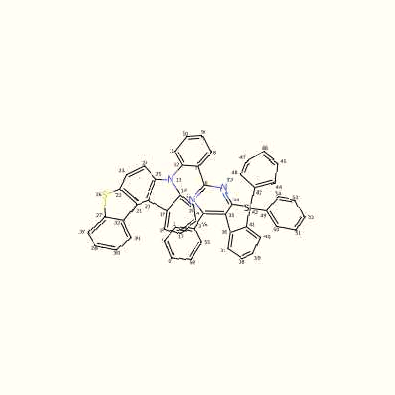 c1ccc(-c2nc(-c3ccccc3-n3c4ccccc4c4c5c(ccc43)sc3ccccc35)nc3c2-c2ccccc2[Si]3(c2ccccc2)c2ccccc2)cc1